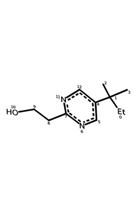 CCC(C)(C)c1cnc(CCO)nc1